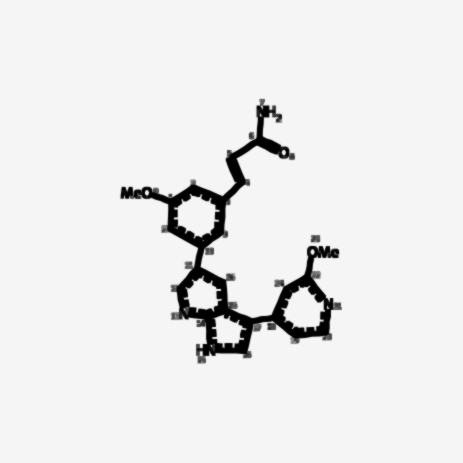 COc1cc(/C=C/C(N)=O)cc(-c2cnc3[nH]cc(-c4ccnc(OC)c4)c3c2)c1